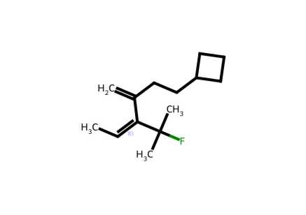 C=C(CCC1CCC1)/C(=C\C)C(C)(C)F